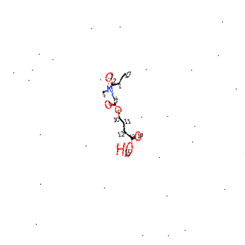 CCC(=O)N(C)CC(=O)OCCCC(=O)O